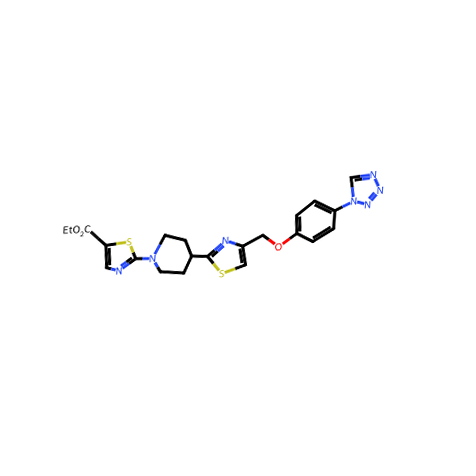 CCOC(=O)c1cnc(N2CCC(c3nc(COc4ccc(-n5cnnn5)cc4)cs3)CC2)s1